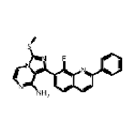 CSc1nc(-c2ccc3ccc(-c4ccccc4)nc3c2F)c2c(N)nccn12